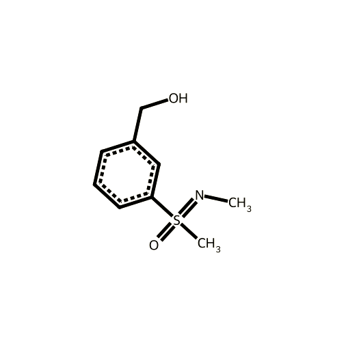 CN=S(C)(=O)c1cccc(CO)c1